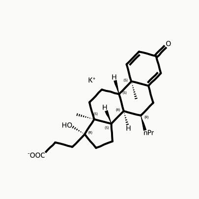 CCC[C@@H]1CC2=CC(=O)C=C[C@]2(C)[C@H]2CC[C@@]3(C)[C@@H](CC[C@@]3(O)CCC(=O)[O-])[C@H]12.[K+]